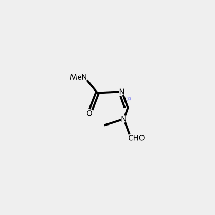 CNC(=O)/N=C\N(C)C=O